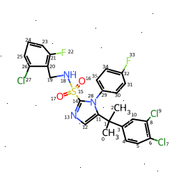 CC(C)(c1ccc(Cl)c(Cl)c1)c1cnc(S(=O)(=O)NCc2c(F)cccc2Cl)n1-c1ccc(F)cc1